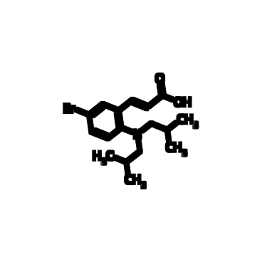 CC(C)CN(CC(C)C)c1ccc(Br)cc1C=CC(=O)O